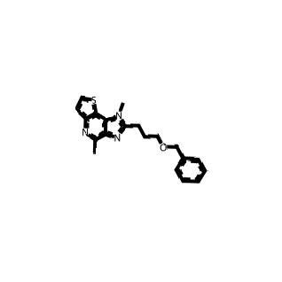 Cc1nc2ccsc2c2c1nc(CCCOCc1ccccc1)n2C